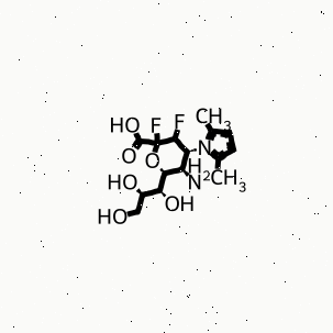 Cc1ccc(C)n1[C@H]1C(F)C(F)(C(=O)O)O[C@@H]([C@H](O)[C@H](O)CO)[C@@H]1N